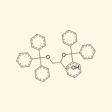 OCC(COC(c1ccccc1)(c1ccccc1)c1ccccc1)OC(c1ccccc1)(c1ccccc1)c1ccccc1